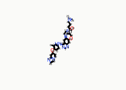 Cc1cc(Nc2ncnc3cc4c(cc23)N2CCN(C(=O)/C=C/CN(C)C)[C@H](CO4)C2)ccc1Oc1ccn2ccnc2c1